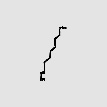 [CH2]CCC=CCCCCCCCCCCC[CH2]